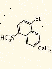 CCc1ccc(S(=O)(=O)O)c2ccccc12.[CaH2]